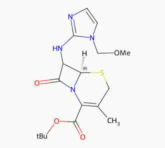 COCn1ccnc1NC1C(=O)N2C(C(=O)OC(C)(C)C)=C(C)CS[C@H]12